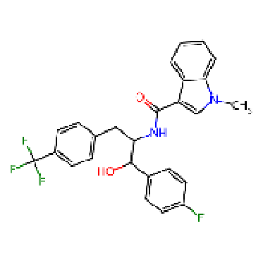 Cn1cc(C(=O)NC(Cc2ccc(C(F)(F)F)cc2)C(O)c2ccc(F)cc2)c2ccccc21